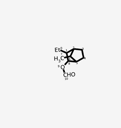 CCC1C2CCC(C2C)C1OC=O